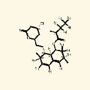 [2H]C1=C([2H])[C@]([2H])(C)[C@H](CCC2C[C@@H](O)CC(=O)O2)[C@@H]2C1=C([2H])[C@]([2H])(C)C([2H])([2H])C2OC(=O)[C@@H](C)C([2H])([2H])C([2H])([2H])[2H]